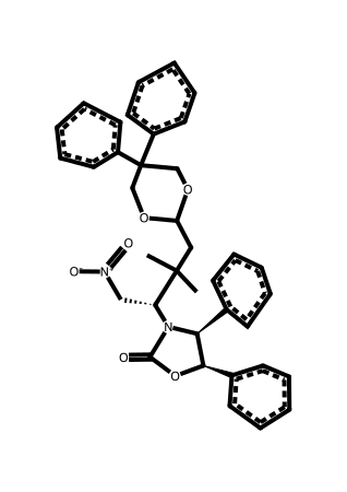 CC(C)(CC1OCC(c2ccccc2)(c2ccccc2)CO1)[C@@H](C[N+](=O)[O-])N1C(=O)O[C@H](c2ccccc2)[C@@H]1c1ccccc1